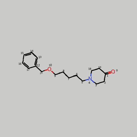 O=C1CCN(CCCCCOCc2ccccc2)CC1